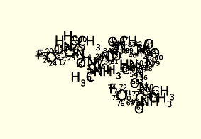 C[C@@H]1CN(CC(=O)N2CC(C)(C)c3[nH]c(=O)c(Cc4ccc(F)cc4)cc32)[C@@H](CN2CCO[C@H](C(=O)N(C)CC3CCN(C(=O)[C@@H]4CN(C[C@H]5CN[C@H](C)CN5CC(=O)N5CC(C)(C)c6[nH]c(=O)c(Cc7ccc(F)cc7)cc65)CCO4)CC3)C2)CN1